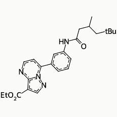 CCOC(=O)c1cnn2c(-c3cccc(NC(=O)CC(C)CC(C)(C)C)c3)ccnc12